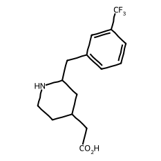 O=C(O)CC1CCNC(Cc2cccc(C(F)(F)F)c2)C1